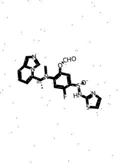 C[C@H](c1cccc2cncn12)N(C)c1cc(F)c([S+]([O-])Nc2nccs2)cc1OC=O